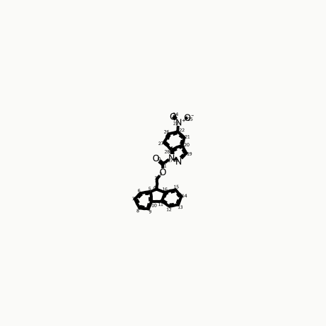 O=C(OCC1c2ccccc2-c2ccccc21)n1ncc2cc([N+](=O)[O-])ccc21